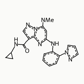 CNc1cc(Nc2ccccc2-n2cccn2)nc2c(C(=O)NC3CC3)cnn12